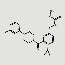 CC(C)(C)OC(=O)NCc1ccc(C2CC2)c(C(=O)C2CCC(c3cccc(F)c3)CC2)n1